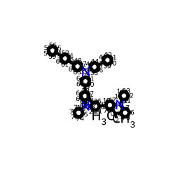 CC1(C)c2ccccc2N(c2ccccc2)c2ccc(-c3ccc4c(c3)c3cc(-c5ccc(N(c6ccc(-c7ccccc7)cc6)c6ccc(-c7ccc(-c8ccccc8)cc7)cc6)cc5)ccc3n4-c3ccccc3)cc21